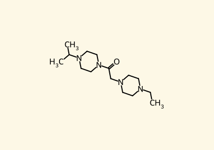 CCN1CCN(CC(=O)N2CCN(C(C)C)CC2)CC1